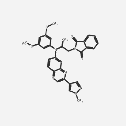 COc1cc(OC)cc(N(c2ccc3ncc(-c4cnn(C)c4)nc3c2)C(C)CN2C(=O)c3ccccc3C2=O)c1